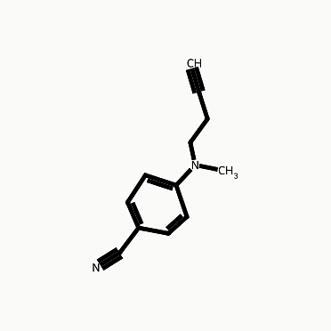 C#CCCN(C)c1ccc(C#N)cc1